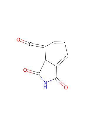 O=C=C1C=CC=C2C(=O)NC(=O)C12